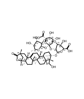 C[C@H]1O[C@H](O[C@@]2(O[C@H]3[C@@H](O[C@H]4CC[C@@]5(C)[C@@H](CC[C@]6(C)[C@@H]5CC=C5[C@H]7C[C@]8(C)C[C@@H](OC8=O)[C@]7(C)CC[C@]56C)[C@@]4(C)CO)O[C@H](C(=O)O)[C@H](O)[C@@H]3O)C[C@@H](O)[C@@H](O)[C@@H](C(=O)O)O2)[C@H](O)[C@@H](O)[C@H]1O